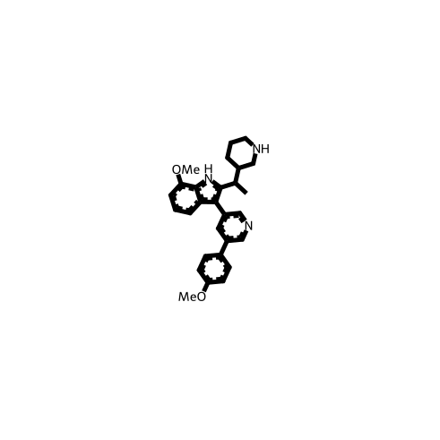 COc1ccc(-c2cncc(-c3c(C(C)C4CCCNC4)[nH]c4c(OC)cccc34)c2)cc1